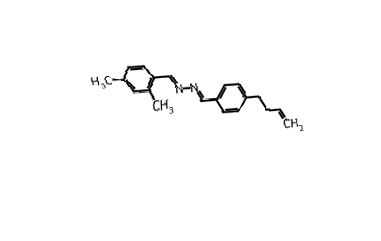 C=CCCc1ccc(C=NN=Cc2ccc(C)cc2C)cc1